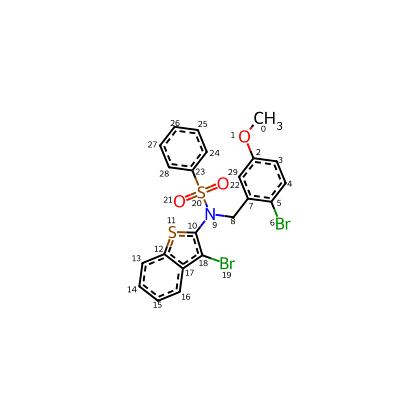 COc1ccc(Br)c(CN(c2sc3ccccc3c2Br)S(=O)(=O)c2ccccc2)c1